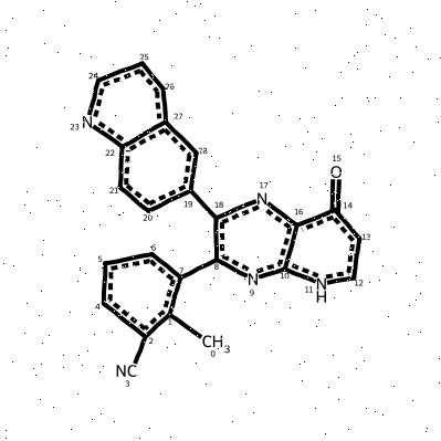 Cc1c(C#N)cccc1-c1nc2[nH]ccc(=O)c2nc1-c1ccc2ncccc2c1